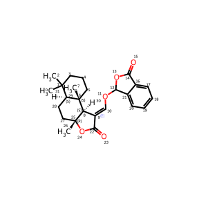 CC1(C)CCC[C@]2(C)[C@H]3/C(=C\OC4OC(=O)c5ccccc54)C(=O)O[C@]3(C)CC[C@@H]12